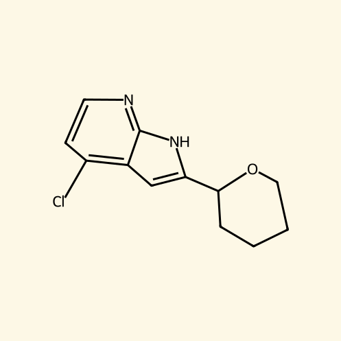 Clc1ccnc2[nH]c(C3CCCCO3)cc12